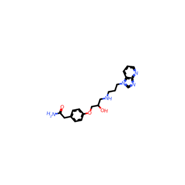 NC(=O)Cc1ccc(OCC(O)CNCCCn2cnc3ncccc32)cc1